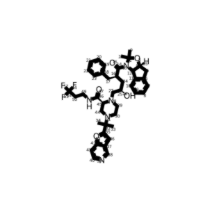 CC1(C)O[C@@H]2Cc3ccccc3C2N1C(=O)[C@H](Cc1ccccc1)C[C@H](O)CN1CCN(C(C)(C)c2cc3cnccc3o2)C[C@H]1C(=O)NCCC(F)(F)F